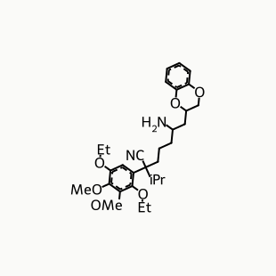 CCOc1cc(C(C#N)(CCCC(N)CC2COc3ccccc3O2)C(C)C)c(OCC)c(OC)c1OC